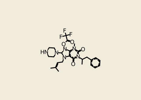 CC(C)=CCN1c2c(n(C)c(=O)n(C(C)Cc3ccccc3)c2=O)N(OC(=O)C(F)(F)F)C1N1CCNCC1